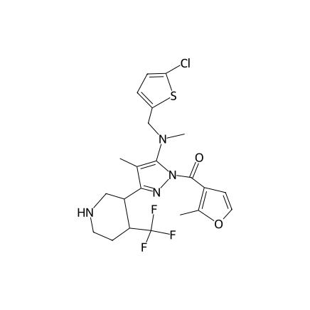 Cc1occc1C(=O)n1nc(C2CNCCC2C(F)(F)F)c(C)c1N(C)Cc1ccc(Cl)s1